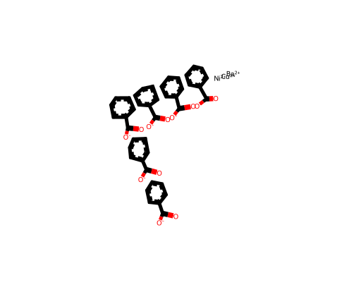 O=C([O-])c1ccccc1.O=C([O-])c1ccccc1.O=C([O-])c1ccccc1.O=C([O-])c1ccccc1.O=C([O-])c1ccccc1.O=C([O-])c1ccccc1.[Ba+2].[Cu+2].[Ni+2]